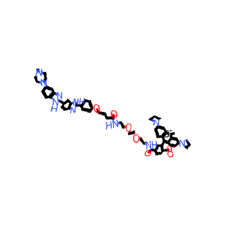 CN1CCN(c2ccc3[nH]c(-c4ccc5nc(-c6ccc(OCCCC(=O)NCCOCCOCCNC(=O)c7ccc(C(=O)[O-])c(C8=C9C=CC(=[N+]%10CCC%10)C=C9[Si](C)(C)c9cc(N%10CCC%10)ccc98)c7)cc6)[nH]c5c4)nc3c2)CC1